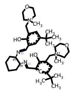 CC(C)(C)c1cc(/C=N/[C@@H]2CCCC[C@H]2/N=C/c2cc(C(C)(C)C)cc(C[N+]3(C)CCOCC3)c2O)c(O)c(C[N+]2(C)CCOCC2)c1